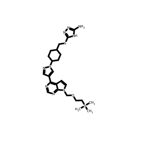 C[Si](C)(C)CCOCn1ccc2c(-c3cnn(C4CCC(CSc5nnc(N)[nH]5)CC4)c3)ncnc21